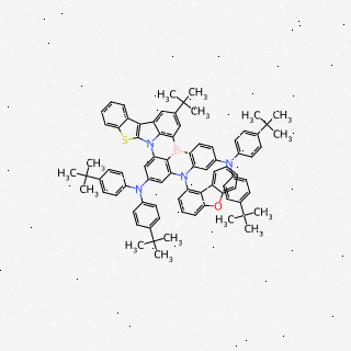 CC(C)(C)c1ccc(N(c2ccc(C(C)(C)C)cc2)c2ccc3c(c2)N(c2cccc4oc5ccccc5c24)c2cc(N(c4ccc(C(C)(C)C)cc4)c4ccc(C(C)(C)C)cc4)cc4c2B3c2cc(C(C)(C)C)cc3c5c6ccccc6sc5n-4c23)cc1